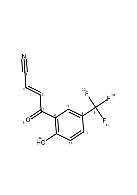 N#C/C=C/C(=O)c1cc(C(F)(F)F)ccc1O